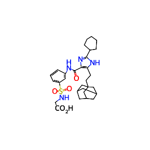 O=C(O)CNS(=O)(=O)c1cccc(NC(=O)c2nc(C3CCCCC3)[nH]c2CCC23CC4CC(CC(C4)C2)C3)c1